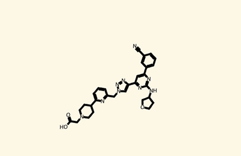 N#Cc1cccc(-c2cc(-c3cn(Cc4cccc(C5CCN(CC(=O)O)CC5)n4)nn3)nc(NC3CCOC3)n2)c1